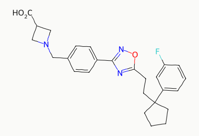 O=C(O)C1CN(Cc2ccc(-c3noc(CCC4(c5cccc(F)c5)CCCC4)n3)cc2)C1